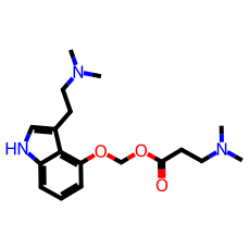 CN(C)CCC(=O)OCOc1cccc2[nH]cc(CCN(C)C)c12